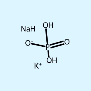 O=P([O-])(O)O.[K+].[NaH]